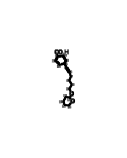 O=C(O)c1ccc(C#CCCCCOC2CCCCO2)cc1